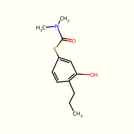 CCCc1ccc(SC(=O)N(C)C)cc1O